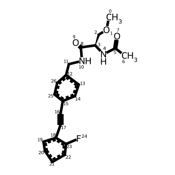 COC[C@@H](NC(C)=O)C(=O)NCc1ccc(C#Cc2ccccc2F)cc1